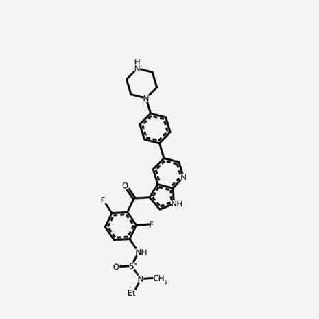 CCN(C)[S+]([O-])Nc1ccc(F)c(C(=O)c2c[nH]c3ncc(-c4ccc(N5CCNCC5)cc4)cc23)c1F